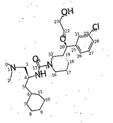 CN(C)C[C@H](CC1CCCCC1)NC(=O)N1CCC[C@@H]([C@@H](OCCO)c2cccc(Cl)c2)C1